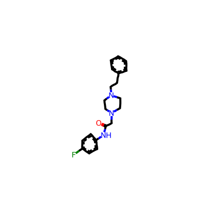 O=C(CN1CCN(CCc2ccccc2)CC1)Nc1ccc(F)cc1